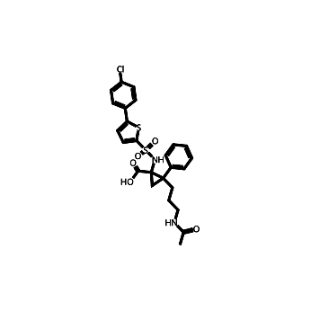 CC(=O)NCCCC1(c2ccccc2)CC1(NS(=O)(=O)c1ccc(-c2ccc(Cl)cc2)s1)C(=O)O